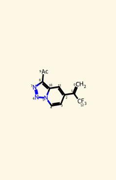 C=C(c1ccn2nnc(C(C)=O)c2c1)C(F)(F)F